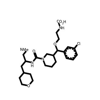 CNCC(CC1CCOCC1)NC(=O)N1CCCC(C(OCCNC(=O)O)c2cccc(Cl)c2)C1